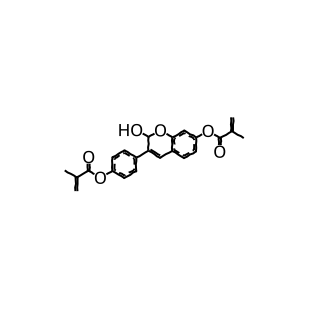 C=C(C)C(=O)Oc1ccc(C2=Cc3ccc(OC(=O)C(=C)C)cc3OC2O)cc1